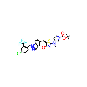 CN(C1=NC(=O)C(=Cc2ccc3c(cnn3Cc3ccc(Cl)cc3C(F)(F)F)c2)S1)C1CCN(C(=O)OC(C)(C)C)C1